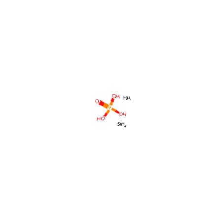 O=P(O)(O)O.[HH].[SiH4]